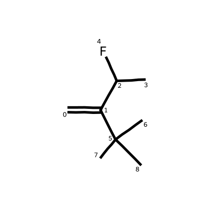 C=C(C(C)F)C(C)(C)C